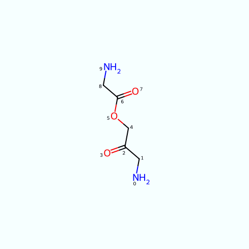 NCC(=O)COC(=O)CN